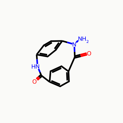 NN1C(=O)c2ccc(cc2)C(=O)Nc2ccc1cc2